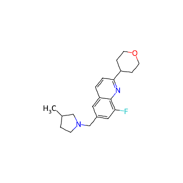 CC1CCN(Cc2cc(F)c3nc(C4CCOCC4)ccc3c2)C1